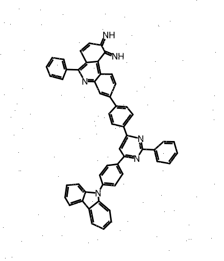 N=C1C=Cc2c(-c3ccccc3)nc3cc(-c4ccc(-c5cc(-c6ccc(-n7c8ccccc8c8ccccc87)cc6)nc(-c6ccccc6)n5)cc4)ccc3c2C1=N